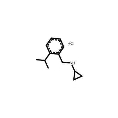 CC(C)c1ccccc1CNC1CC1.Cl